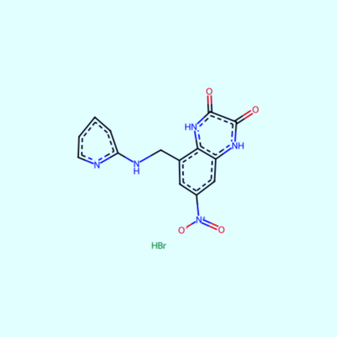 Br.O=c1[nH]c2cc([N+](=O)[O-])cc(CNc3ccccn3)c2[nH]c1=O